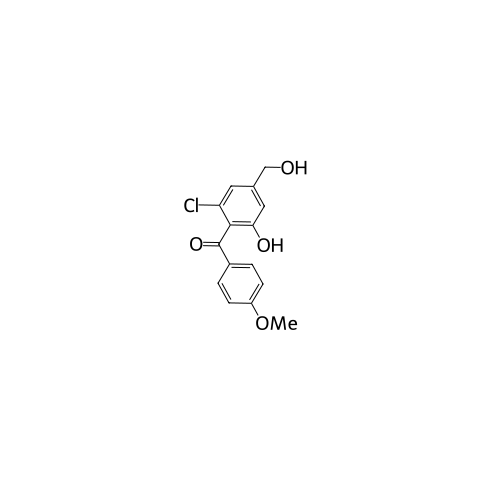 COc1ccc(C(=O)c2c(O)cc(CO)cc2Cl)cc1